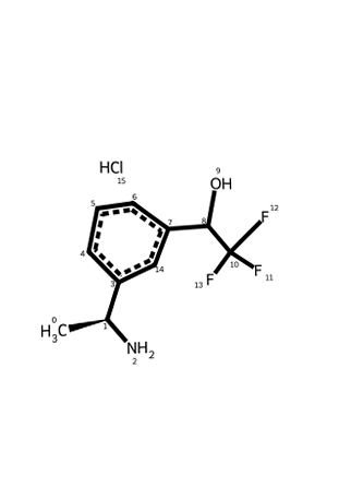 C[C@H](N)c1cccc(C(O)C(F)(F)F)c1.Cl